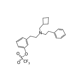 O=S(=O)(Oc1cccc(CCN(CCc2ccccc2)CC2CCC2)c1)C(F)(F)F